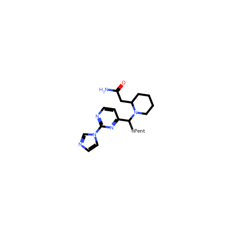 CCCCCC(c1ccnc(-n2ccnc2)n1)N1CCCCC1CC(N)=O